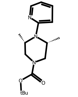 C[C@@H]1CN(C(=O)OC(C)(C)C)C[C@H](C)N1c1ccccn1